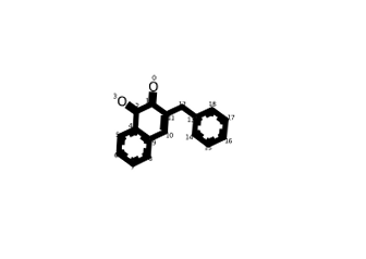 O=C1C(=O)c2ccccc2C=C1Cc1ccccc1